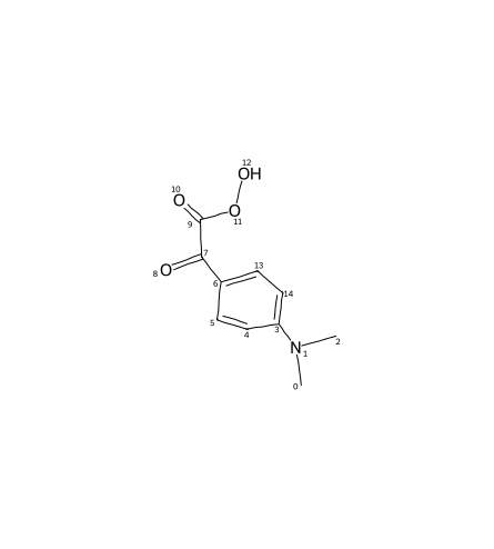 CN(C)c1ccc(C(=O)C(=O)OO)cc1